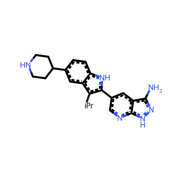 CC(C)c1c(-c2cnc3[nH]nc(N)c3c2)[nH]c2ccc(C3CCNCC3)cc12